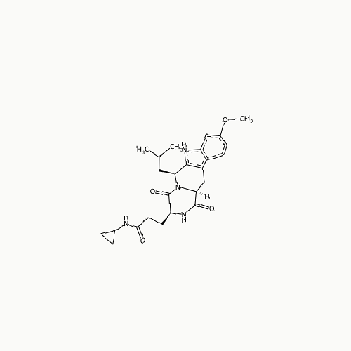 COc1ccc2c3c([nH]c2c1)[C@H](CC(C)C)N1C(=O)[C@H](CCC(=O)NC2CC2)NC(=O)[C@@H]1C3